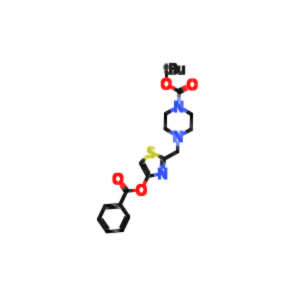 CC(C)(C)OC(=O)N1CCN(Cc2nc(OC(=O)c3ccccc3)cs2)CC1